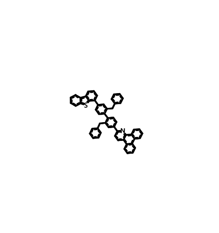 c1ccc(Cc2cc(-c3ccc4c5ccccc5c5ccccc5c4n3)ccc2-c2ccc(-c3cccc4c3sc3ccccc34)cc2Cc2ccccc2)cc1